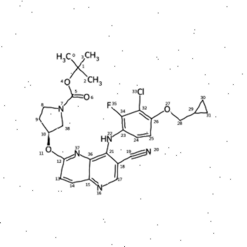 CC(C)(C)OC(=O)N1CC[C@H](Oc2ccc3ncc(C#N)c(Nc4ccc(OCC5CC5)c(Cl)c4F)c3n2)C1